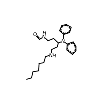 CCCCCCCNCCC(CCNC=O)N(c1ccccc1)c1ccccc1